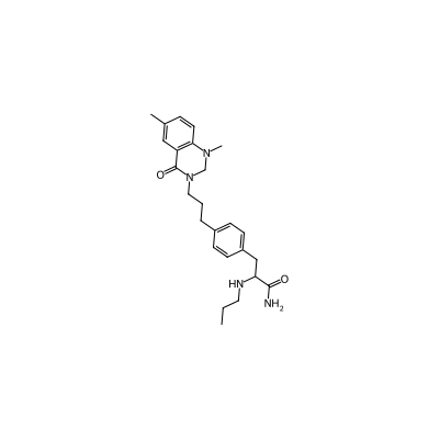 CCCNC(Cc1ccc(CCCN2CN(C)c3ccc(C)cc3C2=O)cc1)C(N)=O